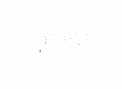 CC(=O)c1cc(C(F)(F)c2ccccc2)on1